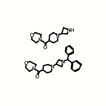 O=C(C1CCN(C2CN(C(c3ccccc3)c3ccccc3)C2)CC1)N1CCOCC1.O=C(C1CCN(C2CNC2)CC1)N1CCOCC1